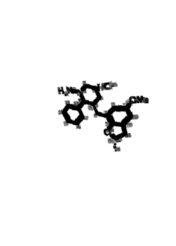 COc1cc(C[C@@H]2CCCN(N)C2c2ccccc2)c2c(c1)C[C@H](C)O2.Cl